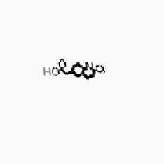 COc1ccc2cc(CC(=O)O)ccc2n1